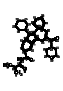 CN(C)C(=O)NC(=O)c1ccc2c(C3CCCCC3)c3n(c2c1)CC(C(=O)N1CCOCC1)=Cc1ccccc1-3